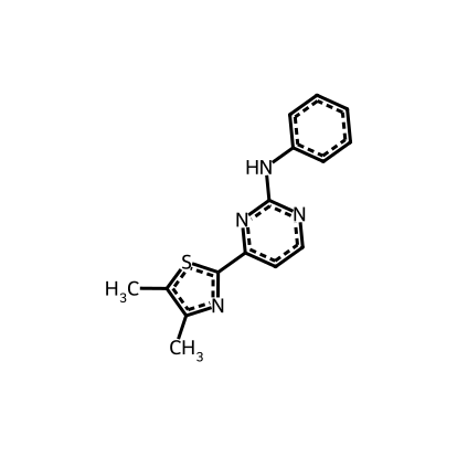 Cc1nc(-c2ccnc(Nc3ccccc3)n2)sc1C